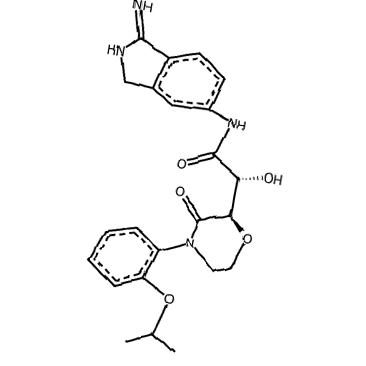 CC(C)Oc1ccccc1N1CCO[C@H]([C@@H](O)C(=O)Nc2ccc3c(c2)CNC3=N)C1=O